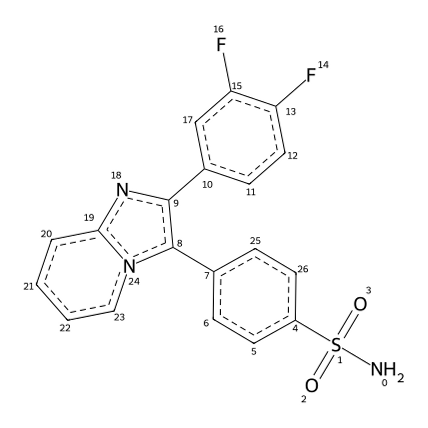 NS(=O)(=O)c1ccc(-c2c(-c3ccc(F)c(F)c3)nc3ccccn23)cc1